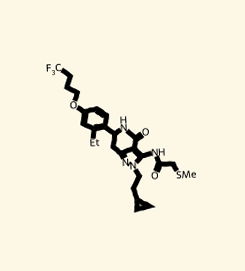 CCc1cc(OCCCC(F)(F)F)ccc1C1Cc2nn(CCC3CC3)c(NC(=O)CSC)c2C(=O)N1